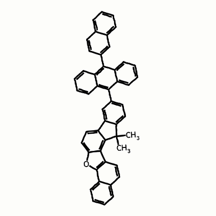 CC1(C)c2ccc(-c3c4ccccc4c(-c4ccc5ccccc5c4)c4ccccc34)cc2-c2ccc3oc4c5ccccc5ccc4c3c21